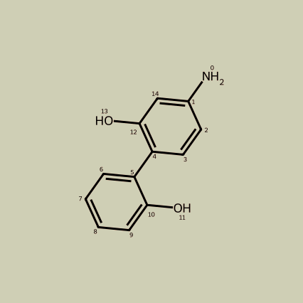 Nc1ccc(-c2ccccc2O)c(O)c1